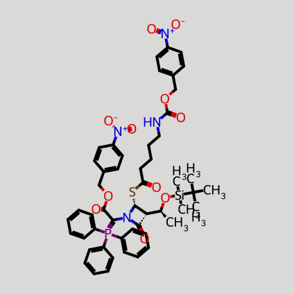 C[C@H](O[Si](C)(C)C(C)(C)C)[C@@H]1C(=O)N(C(C(=O)OCc2ccc([N+](=O)[O-])cc2)=P(c2ccccc2)(c2ccccc2)c2ccccc2)[C@@H]1SC(=O)CCCCNC(=O)OCc1ccc([N+](=O)[O-])cc1